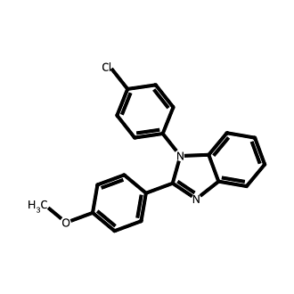 COc1ccc(-c2nc3ccccc3n2-c2ccc(Cl)cc2)cc1